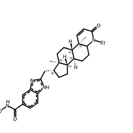 CCN1C(=O)C=C[C@@]2(C)C1CC[C@H]1[C@@H]3CC[C@H](Cc4nc5cc(C(=O)NO)ccc5[nH]4)[C@@]3(C)CC[C@@H]12